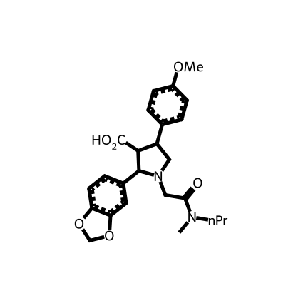 CCCN(C)C(=O)CN1CC(c2ccc(OC)cc2)C(C(=O)O)C1c1ccc2c(c1)OCO2